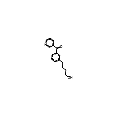 O=C(c1cccnc1)c1cccc(CCCCO)c1